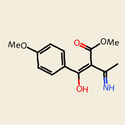 COC(=O)/C(C(C)=N)=C(/O)c1ccc(OC)cc1